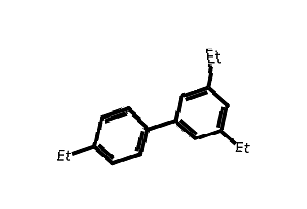 CCc1ccc(-c2cc(CC)cc(CC)c2)cc1